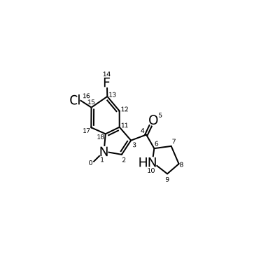 Cn1cc(C(=O)C2CCCN2)c2cc(F)c(Cl)cc21